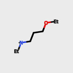 CC[N]CCCOCC